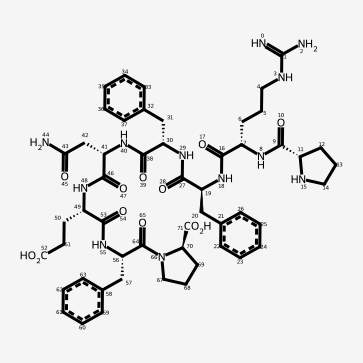 N=C(N)NCCC[C@H](NC(=O)[C@@H]1CCCN1)C(=O)N[C@@H](Cc1ccccc1)C(=O)N[C@@H](Cc1ccccc1)C(=O)N[C@@H](CC(N)=O)C(=O)N[C@@H](CCC(=O)O)C(=O)N[C@@H](Cc1ccccc1)C(=O)N1CCC[C@@H]1C(=O)O